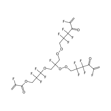 C=C(F)C(=O)OCC(F)(F)C(F)(F)OCC(F)(COOCC(F)(F)C(F)(F)C(=O)C(=C)F)OOCC(F)(F)C(F)(F)C(=O)C(=C)F